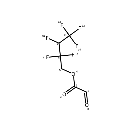 O=CC(=O)OCC(F)(F)C(F)C(F)(F)F